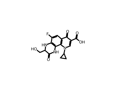 O=C(O)c1cn(C2CC2)c2c3c(c(F)cc2c1=O)NC(CO)C(=O)N3